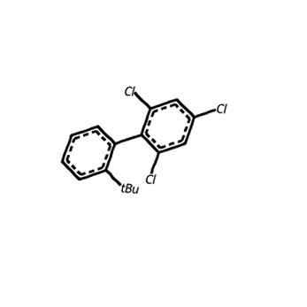 CC(C)(C)c1ccccc1-c1c(Cl)cc(Cl)cc1Cl